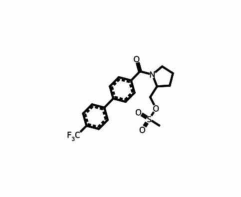 CS(=O)(=O)OCC1CCCN1C(=O)c1ccc(-c2ccc(C(F)(F)F)cc2)cc1